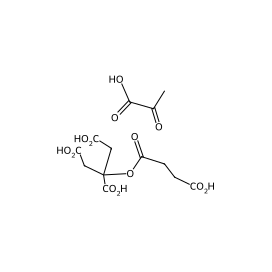 CC(=O)C(=O)O.O=C(O)CCC(=O)OC(CC(=O)O)(CC(=O)O)C(=O)O